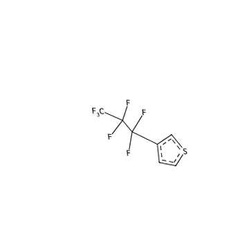 FC(F)(F)C(F)(F)C(F)(F)c1ccsc1